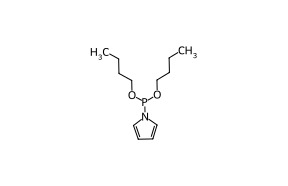 CCCCOP(OCCCC)n1cccc1